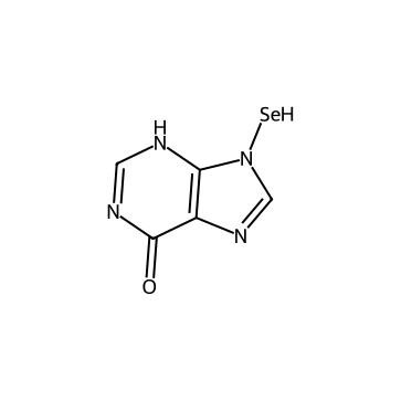 O=c1nc[nH]c2c1ncn2[SeH]